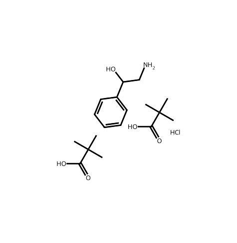 CC(C)(C)C(=O)O.CC(C)(C)C(=O)O.Cl.NCC(O)c1ccccc1